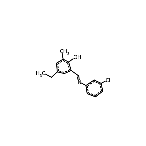 CCc1cc(C)c(O)c(/C=N/c2cccc(Cl)c2)c1